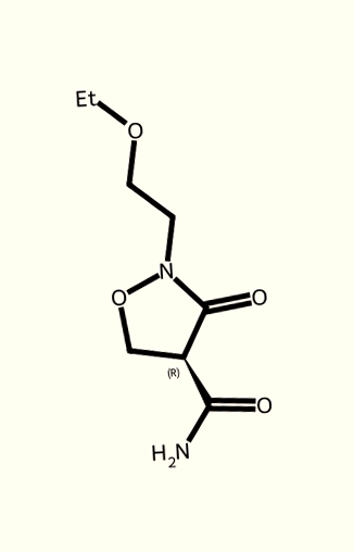 CCOCCN1OC[C@H](C(N)=O)C1=O